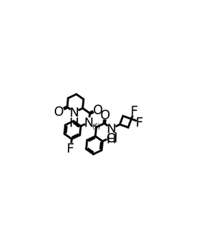 O=C1CCCC(C(=O)N(c2cccc(F)c2)[C@H](C(=O)NC2CC(F)(F)C2)c2ccccc2Cl)N1